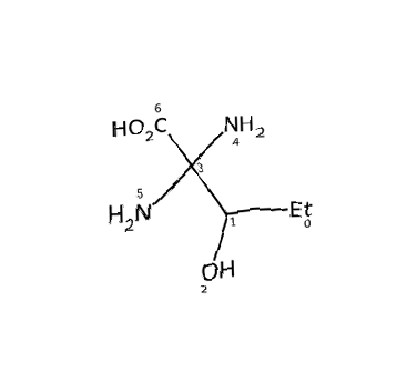 CCC(O)C(N)(N)C(=O)O